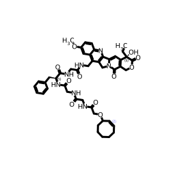 CC[C@@]1(O)C(=O)OCc2c1cc1n(c2=O)Cc2c-1nc1ccc(OC)cc1c2CNC(=O)CNC(=O)[C@H](Cc1ccccc1)NC(=O)CNC(=O)CNC(=O)COC1/C=C\CCCCC1